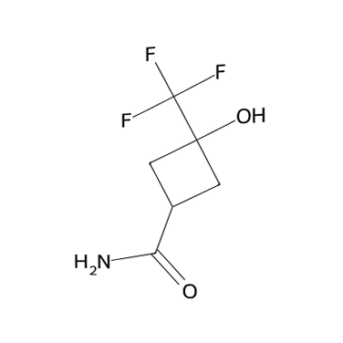 NC(=O)C1CC(O)(C(F)(F)F)C1